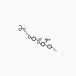 C=CC(=O)OCCCCOc1ccc(C(=O)Oc2ccc(-c3ccc(CCC)cc3)c(C=N)c2)cc1